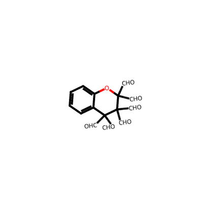 O=CC1(C=O)Oc2ccccc2C(C=O)(C=O)C1(C=O)C=O